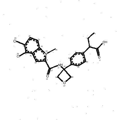 CCC(C(=O)O)c1ccc(C2(NC(=O)c3cc4c(Cl)c(Cl)ccc4n3C)COC2)cc1